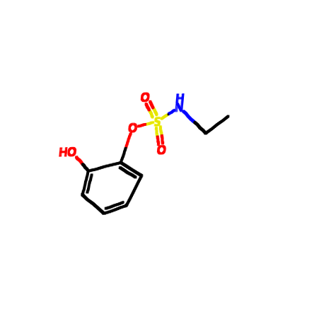 CCNS(=O)(=O)Oc1ccccc1O